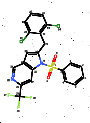 O=S(=O)(c1ccccc1)n1c(Cc2c(Cl)[c]ccc2Cl)cc2cnc(C(F)(F)F)cc21